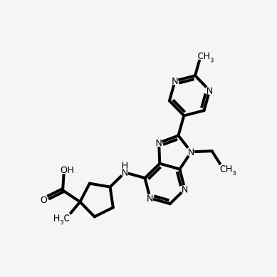 CCn1c(-c2cnc(C)nc2)nc2c(NC3CCC(C)(C(=O)O)C3)ncnc21